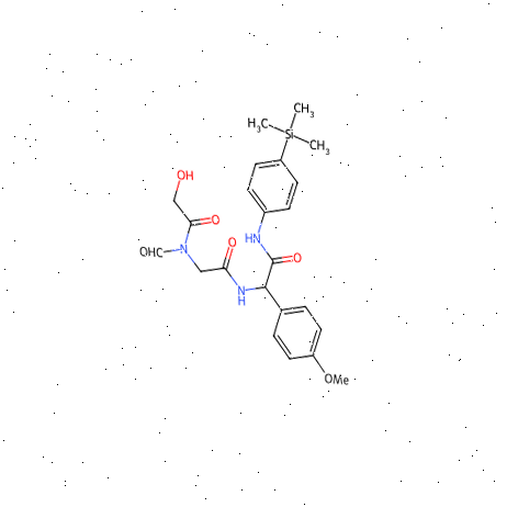 COc1ccc(C(NC(=O)CN(C=O)C(=O)CO)C(=O)Nc2ccc([Si](C)(C)C)cc2)cc1